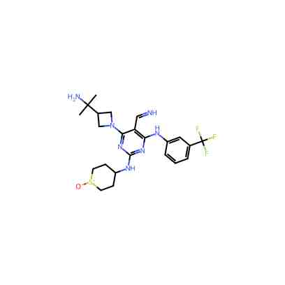 CC(C)(N)C1CN(c2nc(NC3CC[S+]([O-])CC3)nc(Nc3cccc(C(F)(F)F)c3)c2C=N)C1